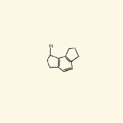 CC[C]1CCc2ccc3c(c21)CCC3